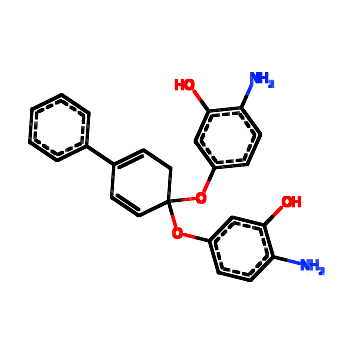 Nc1ccc(OC2(Oc3ccc(N)c(O)c3)C=CC(c3ccccc3)=CC2)cc1O